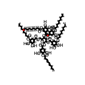 CCCCCCCCC(=O)Oc1cc(C(=O)OCC2OC(OC(=O)c3cc(O)c(OC(=O)CCCCCCCC)c(O)c3)C(OC(=O)c3cc(O)c(O)c(OC(=O)CCCCCCCC)c3)C(OC(=O)c3cc(O)c(OC(=O)CCCCCCCC)c(O)c3)C2OC(=O)c2cc(O)c(O)c(OC(=O)CCCCCCCC)c2)cc(O)c1O